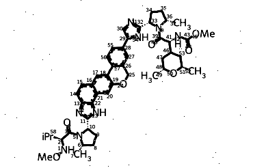 CON[C@H](C(=O)N1[C@@H](C)CC[C@H]1c1nc2ccc3cc4c(cc3c2[nH]1)OCc1cc(-c2cnc([C@@H]3CC[C@H](C)N3C(=O)[C@H](NC(=O)OC)C3C[C@@H](C)O[C@H](C)C3)[nH]2)ccc1-4)C(C)C